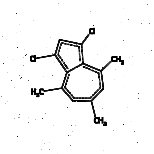 Cc1cc(C)c2c(Cl)cc(Cl)c-2c(C)c1